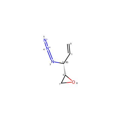 C=C[C@@H](N=[N+]=[N-])C1CO1